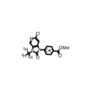 [2H]C([2H])([2H])n1c(=O)n(C23CCC(C(=O)OC)(CC2)CC3)c2cc(Cl)ncc21